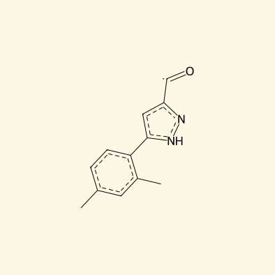 Cc1ccc(-c2cc([C]=O)n[nH]2)c(C)c1